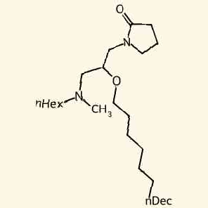 CCCCCCCCCCCCCCCCOC(CN(C)CCCCCC)CN1CCCC1=O